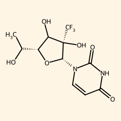 CC(O)[C@H]1O[C@@H](n2ccc(=O)[nH]c2=O)[C@@](O)(C(F)(F)F)C1O